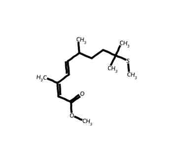 COC(=O)C=C(C)C=CC(C)CCC(C)(C)SC